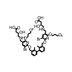 COCCCOc1nc(OCc2cccc(-c3cccc(COc4nc(OCCCOC)c(CNC[C@@H](O)CC(=O)O)cc4Br)c3C)c2C)c(Br)cc1CNC[C@@H](O)CC(=O)O